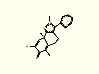 CC1=C2CCc3c(nn(C)c3-c3ccccc3)[C@@]2(C)C=C(C#N)C1=O